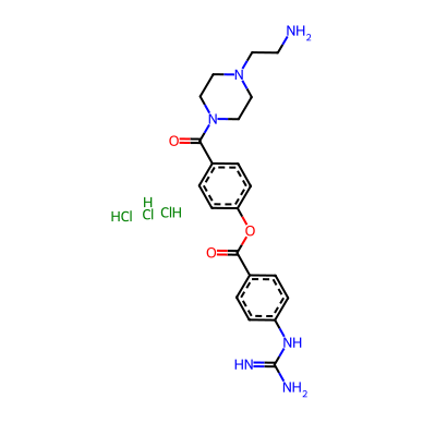 Cl.Cl.Cl.N=C(N)Nc1ccc(C(=O)Oc2ccc(C(=O)N3CCN(CCN)CC3)cc2)cc1